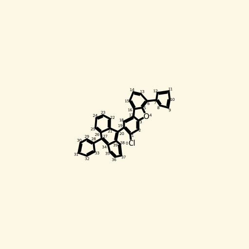 Clc1cc2oc3c(-c4ccccc4)cccc3c2cc1-c1c2ccccc2c(-c2ccccc2)c2ccccc12